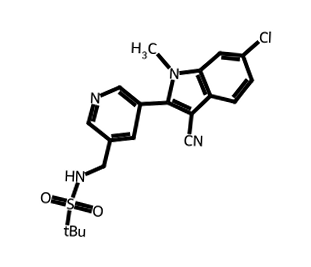 Cn1c(-c2cncc(CNS(=O)(=O)C(C)(C)C)c2)c(C#N)c2ccc(Cl)cc21